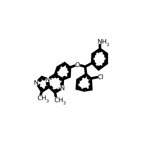 Cc1ncn2c1c(C)nc1cc(OC(c3cccc(N)c3)c3ccccc3Cl)ccc12